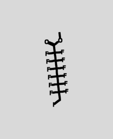 COC(=O)C(F)(F)C(F)(F)C(F)(F)C(F)(F)C(F)(F)C(F)(F)CI